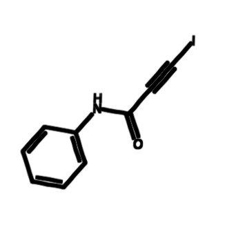 O=C(C#CI)Nc1ccccc1